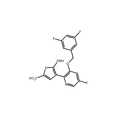 COc1sc(C(=O)O)cc1-c1ncc(F)cc1OCc1cc(F)cc(F)c1